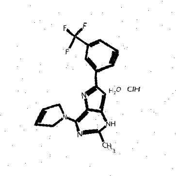 Cc1nc(N2CC=CC2)c2nc(-c3cccc(C(F)(F)F)c3)cc-2[nH]1.Cl.O